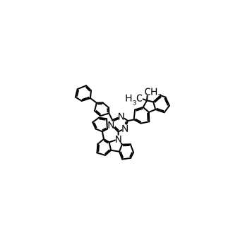 CC1(C)c2ccccc2-c2ccc(-c3nc(-c4ccc(-c5ccccc5)cc4)nc(-n4c5ccccc5c5cccc(-c6ccccc6)c54)n3)cc21